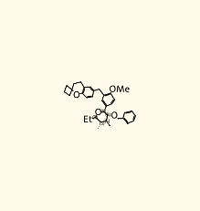 CC[C@H]1O[C@@H](c2ccc(OC)c(Cc3ccc4c(c3)CCC3(CCC3)O4)c2)[C@H](OCc2ccccc2)[C@@H](C)[C@@H]1C